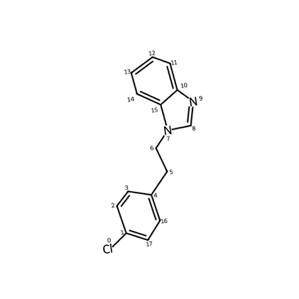 Clc1ccc(CCn2cnc3ccccc32)cc1